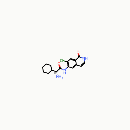 N[C@@H](C(=O)Nc1cc2cc[nH]c(=O)c2cc1Cl)C1CCCCC1